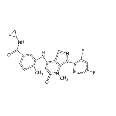 Cc1ccc(C(=O)NC2CC2)cc1Nc1cc(=O)n(C)c2c1cnn2-c1ccc(F)cc1F